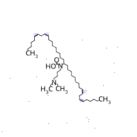 CCCCC/C=C\C/C=C\CCCCCCCCC(CCCCCCCC/C=C\C/C=C\CCCCC)N(CCCCN(CC)CC)C(=O)O